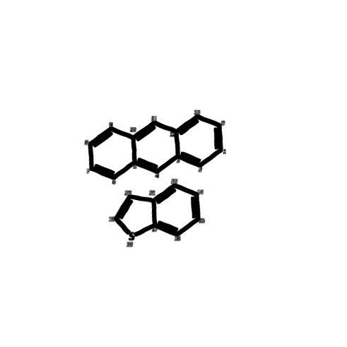 c1ccc2cc3ccccc3cc2c1.c1ccc2sccc2c1